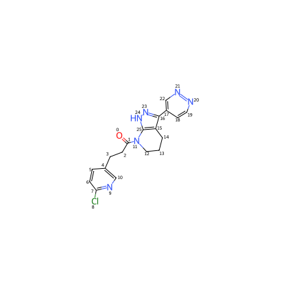 O=C(CCc1ccc(Cl)nc1)N1CCCc2c(-c3ccnnc3)n[nH]c21